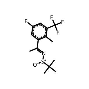 CC(=N[S@+]([O-])C(C)(C)C)c1cc(F)cc(C(F)(F)F)c1C